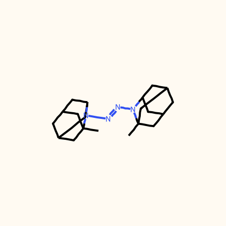 CC12CC3CC(CC(C3)N1N=NN1C3CC4CC(C3)CC1(C)C4)C2